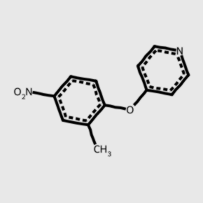 Cc1cc([N+](=O)[O-])ccc1Oc1ccncc1